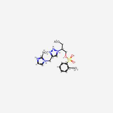 CC(=O)OCC(COS(=O)(=O)c1ccccc1[N+](=O)[O-])n1cc(Cn2ccnc2[N+](=O)[O-])nn1